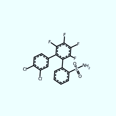 NS(=O)(=O)c1ccccc1-c1c(F)c(F)c(F)c(F)c1-c1ccc(Cl)c(Cl)c1